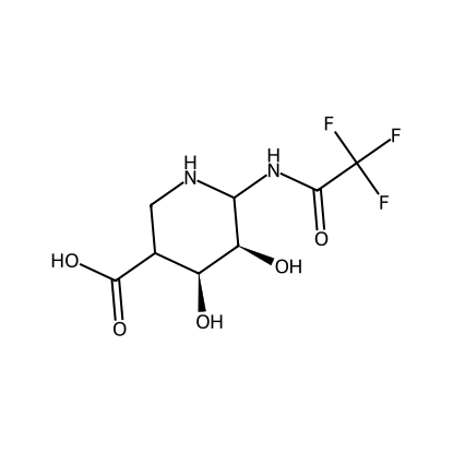 O=C(O)C1CNC(NC(=O)C(F)(F)F)[C@@H](O)[C@H]1O